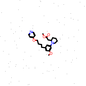 COC(=O)CC1CCCCN1c1cc(CCCCOc2ccncc2)cc(OC)c1